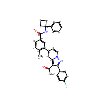 CNC(=O)c1c(-c2ccc(F)cc2)nn2ccc(-c3cc(C(=O)NC4(c5ccccc5)CCC4)ccc3C)cc12